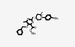 Cc1nc(C[C@H]2CCN(c3ccc(C(C)(C)C)cc3)[C@H](C)C2)nc(C(=O)OC(C)(C)C)c1OCc1ccccc1